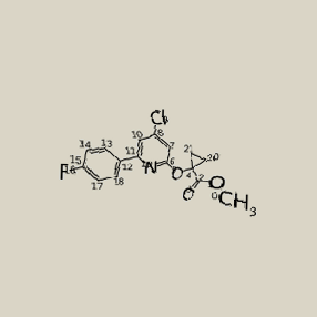 COC(=O)C1(Oc2cc(Cl)cc(-c3ccc(F)cc3)n2)CC1